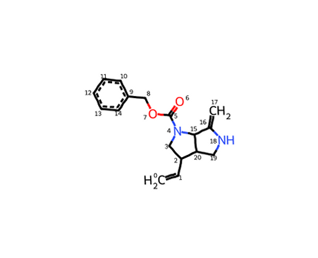 C=CC1CN(C(=O)OCc2ccccc2)C2C(=C)NCC12